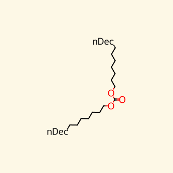 CCCCCCCCCCCCCCCCCOC(=O)OCCCCCCCCCCCCCCCCC